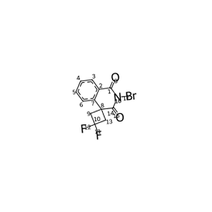 O=C1c2ccccc2C2(CC(F)(F)C2)C(=O)N1Br